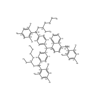 CCCCC(CC)CN(c1ccc(C(c2ccc(N(CC(CC)CCCC)c3c(C)cc(C)cc3C)cc2)c2ccc(Nc3c(C)cc(C)cc3C)c3ccccc23)cc1)c1c(C)cc(C)cc1C